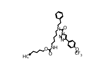 C#CCCCCOC(=O)NCCCCCN(CCc1ccccc1)C(=O)n1cc(-c2ccc(OC(F)(F)F)cc2)nn1